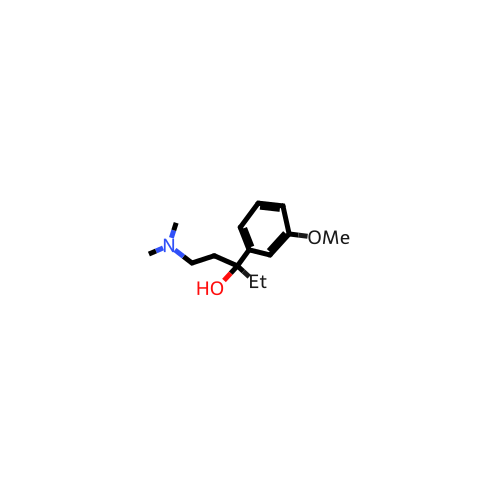 CCC(O)(CCN(C)C)c1cccc(OC)c1